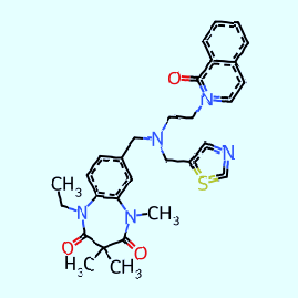 CCN1C(=O)C(C)(C)C(=O)N(C)c2cc(CN(CCn3ccc4ccccc4c3=O)Cc3cncs3)ccc21